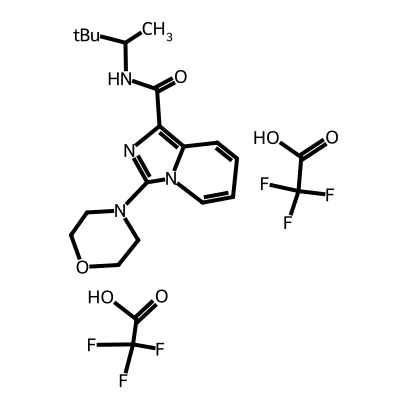 CC(NC(=O)c1nc(N2CCOCC2)n2ccccc12)C(C)(C)C.O=C(O)C(F)(F)F.O=C(O)C(F)(F)F